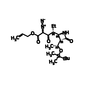 C=CCOC(=O)C(=[N+]=[N-])C(=O)[C@H](CC)[C@H]1NC(=O)[C@@H]1[C@@H](C)O[Si](C)(C)C(C)(C)C